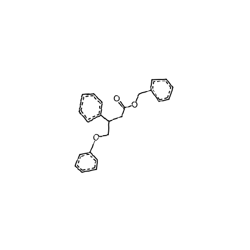 O=C(CC(COc1ccccc1)c1ccccc1)OCc1ccccc1